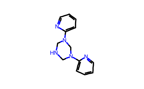 c1ccc(N2CNCN(c3ccccn3)C2)nc1